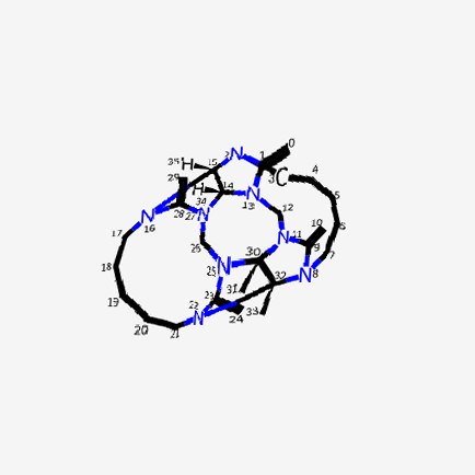 C=C1N2CCCCCN3C(=C)N4CN1[C@H]1[C@@H]2N2CCCCCN5C(=C)N(CN1C2=C)[C@@]4(C)[C@@]53C